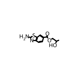 CC(O)COC(=O)c1ccc2nc(N)sc2c1